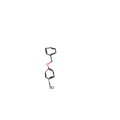 O=Nc1ccc(OCc2ccccc2)cc1